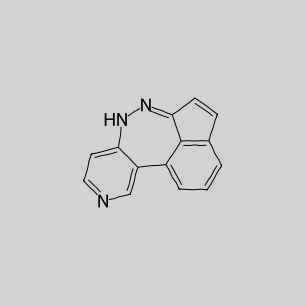 C1=Cc2cccc3c2C1=NNc1ccncc1-3